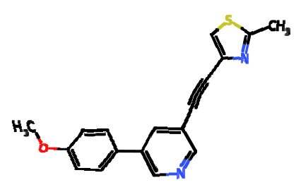 COc1ccc(-c2cncc(C#Cc3csc(C)n3)c2)cc1